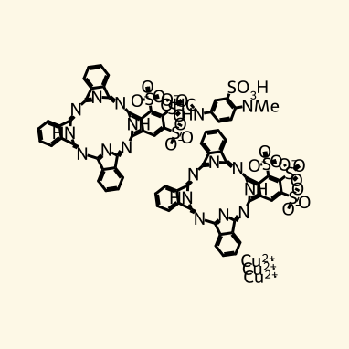 CNc1ccc(NC=O)cc1S(=O)(=O)O.O=S(=O)([O-])c1cc2c3nc4nc(nc5[nH]c(nc6nc(nc([nH]3)c2c(S(=O)(=O)[O-])c1S(=O)(=O)[O-])-c1ccccc1-6)c1ccccc51)-c1ccccc1-4.O=S(=O)([O-])c1cc2c3nc4nc(nc5[nH]c(nc6nc(nc([nH]3)c2c(S(=O)(=O)[O-])c1S(=O)(=O)[O-])-c1ccccc1-6)c1ccccc51)-c1ccccc1-4.[Cu+2].[Cu+2].[Cu+2]